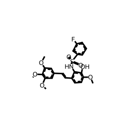 COc1ccc(C=Cc2cc(OC)c(OC)c(OC)c2)c(NS(=O)(=O)c2cccc(F)c2)c1O